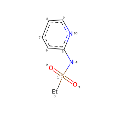 CCS(=O)(=O)[N]c1ccccn1